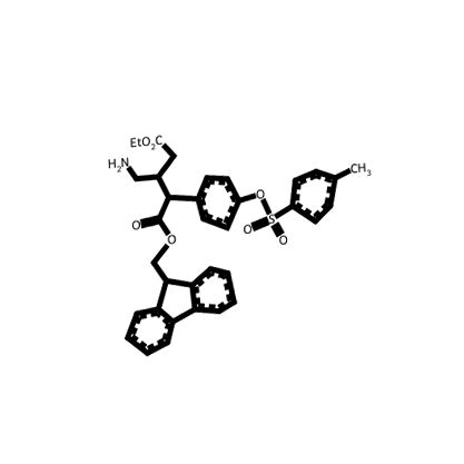 CCOC(=O)CC(CN)C(C(=O)OCC1c2ccccc2-c2ccccc21)c1ccc(OS(=O)(=O)c2ccc(C)cc2)cc1